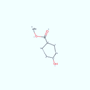 CCCOC(=O)C1CCC(O)CC1